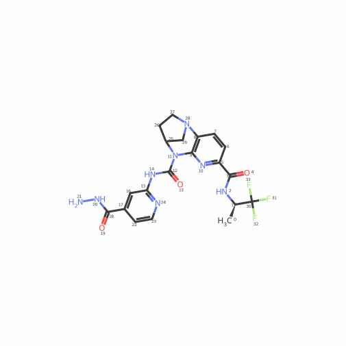 C[C@@H](NC(=O)c1ccc2c(n1)N(C(=O)Nc1cc(C(=O)NN)ccn1)C1CCN2C1)C(F)(F)F